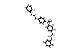 ClP(c1ccc(CCCc2ccccc2)cc1)c1ccc(CCCc2ccccc2)cc1